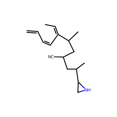 C=C/C=C\C(=C/C)C(C)CC(C#N)CC(C)C1CN1